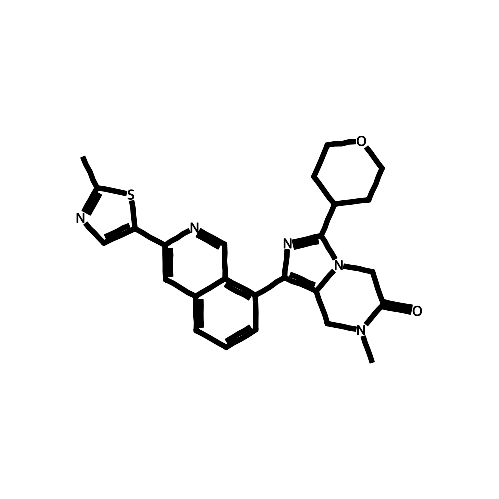 Cc1ncc(-c2cc3cccc(-c4nc(C5CCOCC5)n5c4CN(C)C(=O)C5)c3cn2)s1